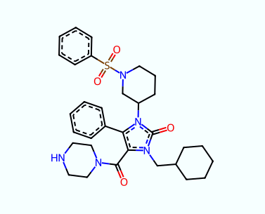 O=C(c1c(-c2ccccc2)n(C2CCCN(S(=O)(=O)c3ccccc3)C2)c(=O)n1CC1CCCCC1)N1CCNCC1